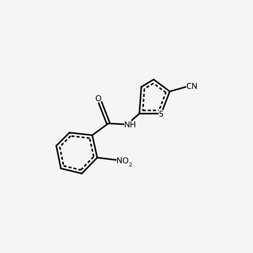 N#Cc1ccc(NC(=O)c2ccccc2[N+](=O)[O-])s1